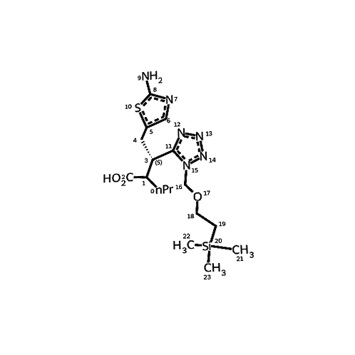 CCCC(C(=O)O)[C@H](Cc1cnc(N)s1)c1nnnn1COCC[Si](C)(C)C